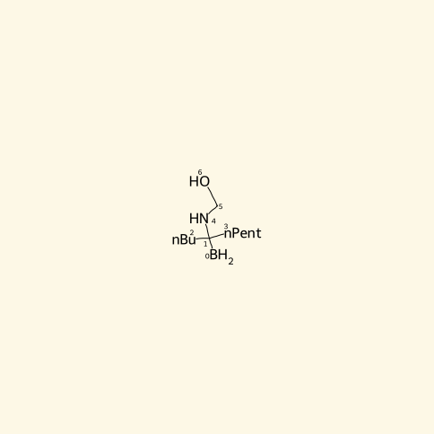 BC(CCCC)(CCCCC)NCO